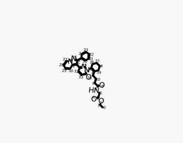 CCOC(=O)CNC(=O)CCCC1=C(n2nc(-c3c(-c4ccccc4)nn4ccccc34)ccc2=O)CCCC1